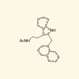 CC(=O)NCCc1c(Cc2cccc3ccccc23)[nH]c2ccccc12